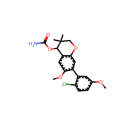 COc1ccc(Cl)c(-c2cc3c(cc2OC)C(OC(N)=O)C(C)(C)CO3)c1